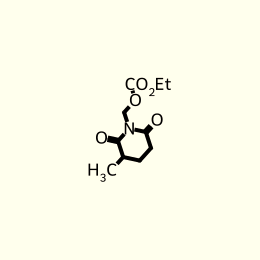 CCOC(=O)OCN1C(=O)CCC(C)C1=O